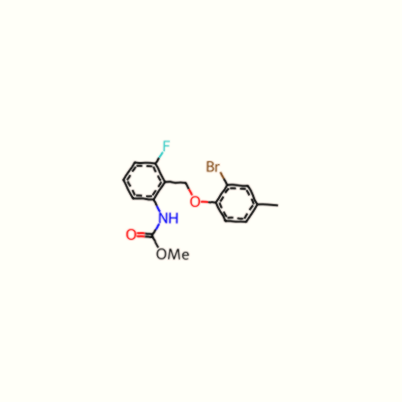 COC(=O)Nc1cccc(F)c1COc1ccc(C)cc1Br